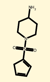 NC1CCN(S(=O)(=O)C2=CC=CC2)CC1